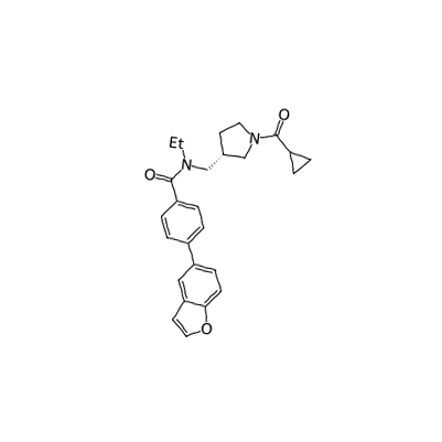 CCN(C[C@@H]1CCN(C(=O)C2CC2)C1)C(=O)c1ccc(-c2ccc3occc3c2)cc1